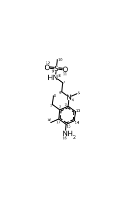 CCc1c(N(C)CCNS(C)(=O)=O)ccc(N)c1C